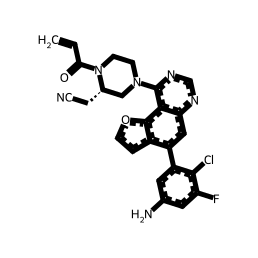 C=CC(=O)N1CCN(c2ncnc3cc(-c4cc(N)cc(F)c4Cl)c4ccoc4c23)C[C@@H]1CC#N